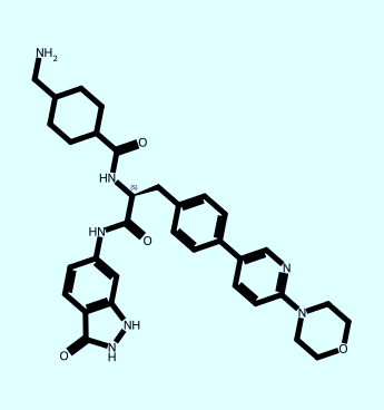 NCC1CCC(C(=O)N[C@@H](Cc2ccc(-c3ccc(N4CCOCC4)nc3)cc2)C(=O)Nc2ccc3c(=O)[nH][nH]c3c2)CC1